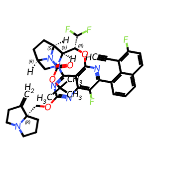 C#Cc1c(F)ccc2cccc(-c3nc4c5c(nc(OC[C@]67CCCN6CCC7=C)nc5c3F)N3C[C@H]5CC[C@@H]([C@H]3[C@H](C(F)F)O4)N5C(=O)OC(C)(C)C)c12